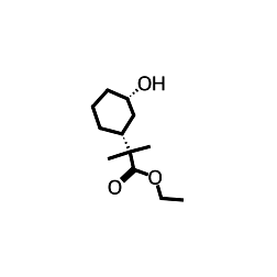 CCOC(=O)C(C)(C)[C@@H]1CCC[C@H](O)C1